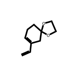 C=CC1=CCCC2(C1)OCCO2